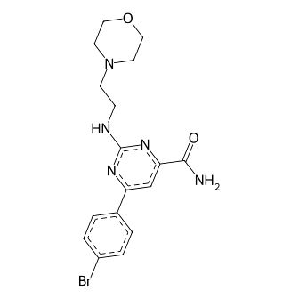 NC(=O)c1cc(-c2ccc(Br)cc2)nc(NCCN2CCOCC2)n1